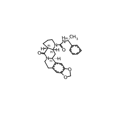 C[C@@H](NC(=O)N1CCC[C@H]2C(=O)N3CCc4cc5c(cc4[C@@H]3C[C@H]21)OCO5)c1ccccc1